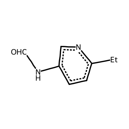 CCc1ccc(NC=O)cn1